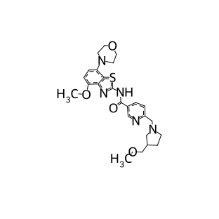 COCC1CCN(Cc2ccc(C(=O)Nc3nc4c(OC)ccc(N5CCOCC5)c4s3)cn2)C1